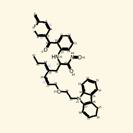 C=C(F)/C=C\C(=C/C)C(=O)c1ccccc1NC(CC(/C=C\COCCn1c2c(c3ccccc31)CCC=C2)=C/CC)C(=O)N=O